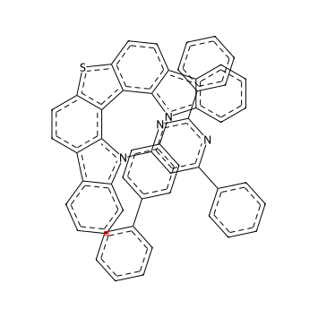 c1ccc(-c2ccc(-n3c4ccccc4c4ccc5sc6ccc7c8ccccc8n(-c8cc(-c9ccccc9)nc(-c9ccccc9)n8)c7c6c5c43)cc2)cc1